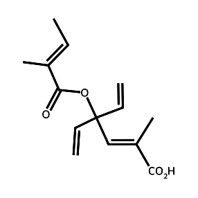 C=CC(C=C)(C=C(C)C(=O)O)OC(=O)C(C)=CC